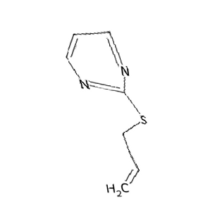 C=CCSc1ncccn1